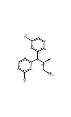 C[C@@H](CN)C(c1cccc(Cl)c1)c1cccc(Cl)c1